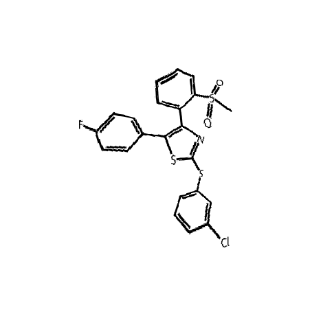 CS(=O)(=O)c1ccccc1-c1nc(Sc2cccc(Cl)c2)sc1-c1ccc(F)cc1